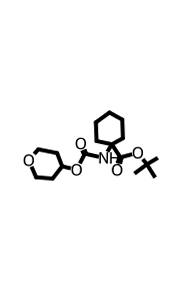 CC(C)(C)OC(=O)C1(NC(=O)OC2CCOCC2)CCCCC1